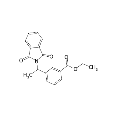 CCOC(=O)c1cccc(C(C)N2C(=O)c3ccccc3C2=O)c1